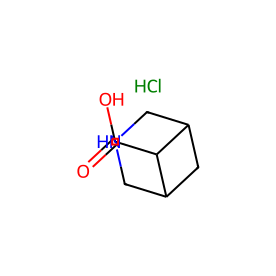 Cl.O=C(O)C1C2CNCC1C2